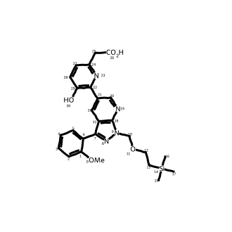 COc1ccccc1-c1nn(COCC[Si](C)(C)C)c2ncc(-c3nc(CC(=O)O)ccc3O)cc12